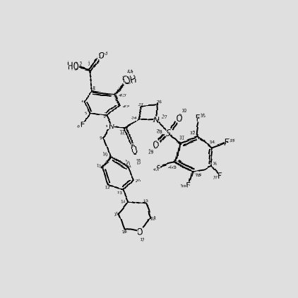 O=C(O)c1cc(F)c(N(Cc2ccc(C3CCOCC3)cc2)C(=O)[C@H]2CCN2S(=O)(=O)c2c(F)c(F)c(F)c(F)c2F)cc1O